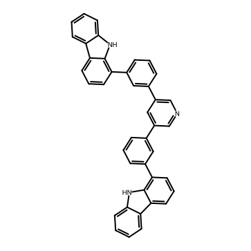 c1cc(-c2cncc(-c3cccc(-c4cccc5c4[nH]c4ccccc45)c3)c2)cc(-c2cccc3c2[nH]c2ccccc23)c1